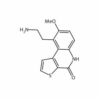 COc1ccc2[nH]c(=O)c3sccc3c2c1CCN